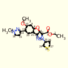 CCOC(=O)c1c2oc3cc(OC)c(-c4ccn(C)n4)cc3c2nn1-c1ccsc1